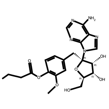 CCCC(=O)Oc1ccc(C[C@@]2(n3cnc4c(N)ncnc43)O[C@H](CO)[C@@H](O)[C@H]2O)cc1OC